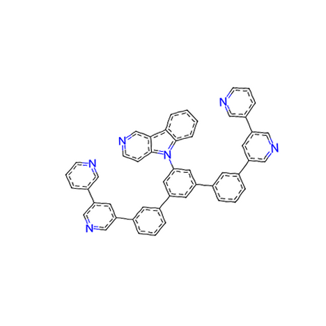 c1cncc(-c2cncc(-c3cccc(-c4cc(-c5cccc(-c6cncc(-c7cccnc7)c6)c5)cc(-n5c6ccccc6c6cnccc65)c4)c3)c2)c1